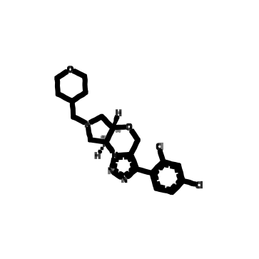 Clc1ccc(-c2nnn3c2CO[C@H]2CN(CC4CCOCC4)C[C@@H]23)c(Cl)c1